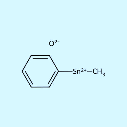 [CH3][Sn+2][c]1ccccc1.[O-2]